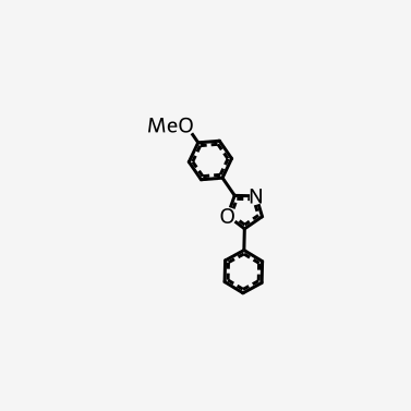 COc1ccc(-c2ncc(-c3ccccc3)o2)cc1